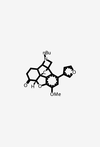 CCCCN1CC23C[C@@]45c6c(c(OC)cc(-c7ccoc7)c62)O[C@@H]4C(=O)CCC5C13